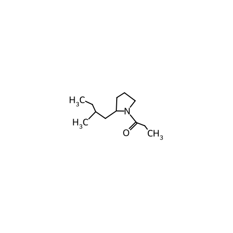 CCC(=O)N1CCCC1CC(C)CC